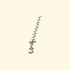 CCCCCCCCCCCCCCCCCCNC(=O)OCC1CC(CO)O1